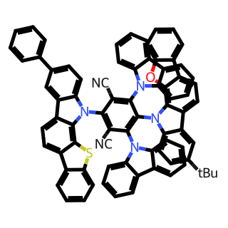 CC(C)(C)c1ccc2c(c1)c1ccc3c4ccccc4oc3c1n2-c1c(-n2c3ccccc3c3ccccc32)c(C#N)c(-n2c3ccc(-c4ccccc4)cc3c3ccc4c5ccccc5sc4c32)c(C#N)c1-n1c2ccccc2c2ccccc21